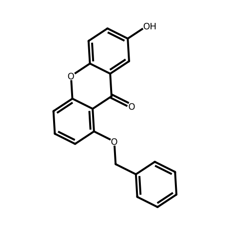 O=c1c2cc(O)ccc2oc2cccc(OCc3ccccc3)c12